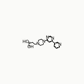 OP(O)CCN1CCN(c2cc(-c3cccnc3)ncn2)CC1